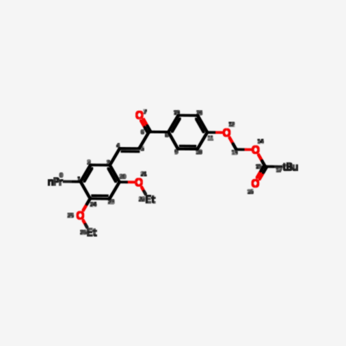 CCCc1cc(C=CC(=O)c2ccc(OCOC(=O)C(C)(C)C)cc2)c(OCC)cc1OCC